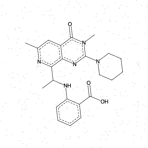 Cc1cc2c(=O)n(C)c(N3CCCCC3)nc2c(C(C)Nc2ccccc2C(=O)O)n1